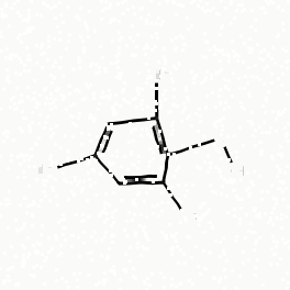 CC(C)c1cc(C(C)C)c(SO)c(C(C)C)c1